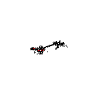 C=C[C@@]1(C)C[C@H](OC(=O)CSC2CC3CCC(C2)N3C)[C@@]2(C)C(C)CCC3(CCC(=O)C32)[C@H](C)[C@@H]1OC(=O)CCCCCCCCCOC(=O)c1cn(C2C[C@@H]2F)c2c(Cl)c(N3C[C@@H](N)C4(CC4)C3)c(F)cc2c1=O